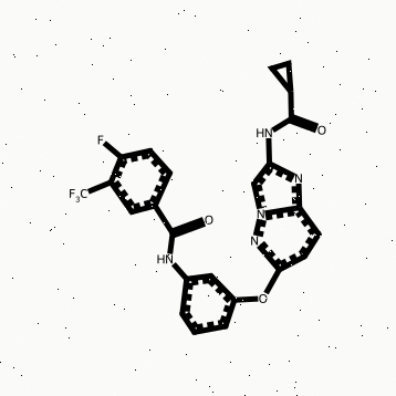 O=C(Nc1cccc(Oc2ccc3nc(NC(=O)C4CC4)cn3n2)c1)c1ccc(F)c(C(F)(F)F)c1